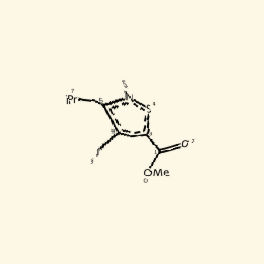 COC(=O)c1snc(C(C)C)c1I